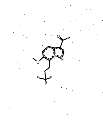 COc1ccc2c(C(C)=O)cnn2c1CCC(F)(F)F